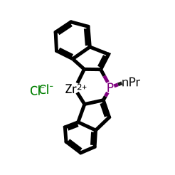 CCCP1C2=Cc3ccccc3[CH]2[Zr+2][CH]2C1=Cc1ccccc12.[Cl-].[Cl-]